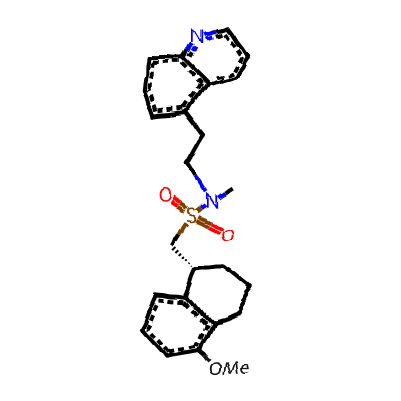 COc1cccc2c1CCC[C@H]2CS(=O)(=O)N(C)CCc1cccc2ncccc12